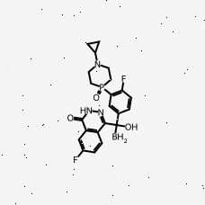 BC(O)(c1ccc(F)c(P2(=O)CCN(C3CC3)CC2)c1)c1n[nH]c(=O)c2cc(F)ccc12